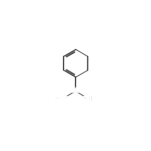 OB(O)C1=CC=CCC1